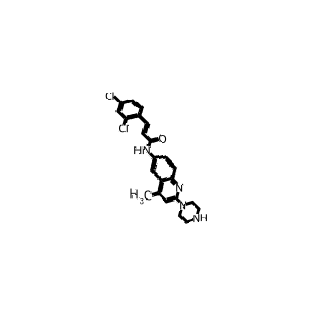 Cc1cc(N2CCNCC2)nc2ccc(NC(=O)C=Cc3ccc(Cl)cc3Cl)cc12